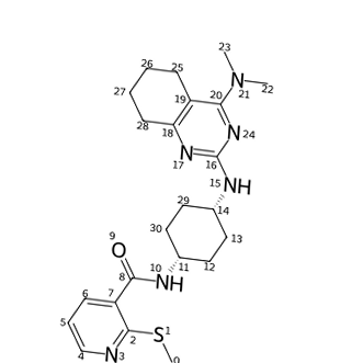 CSc1ncccc1C(=O)N[C@H]1CC[C@@H](Nc2nc3c(c(N(C)C)n2)CCCC3)CC1